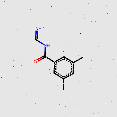 Cc1cc(C)cc(C(=O)NC=N)c1